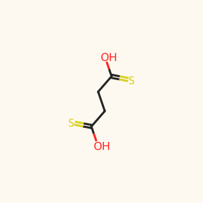 OC(=S)CCC(O)=S